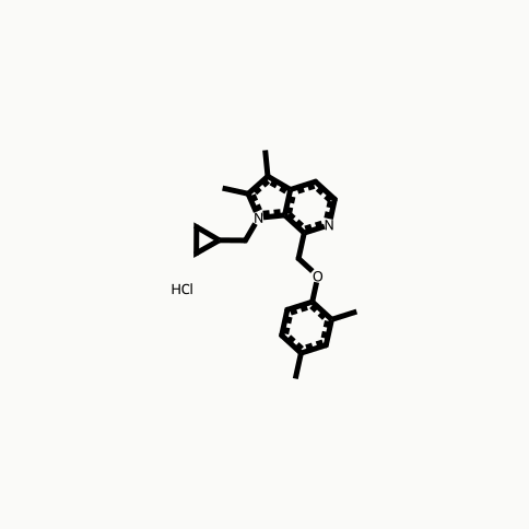 Cc1ccc(OCc2nccc3c(C)c(C)n(CC4CC4)c23)c(C)c1.Cl